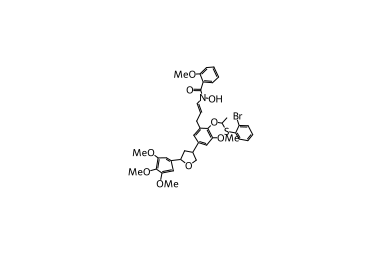 COc1ccccc1C(=O)N(O)/C=C/Cc1cc(C2COC(c3cc(OC)c(OC)c(OC)c3)C2)cc(OC)c1OC(C)Sc1ccccc1Br